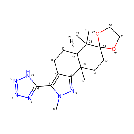 Cn1nc2c(c1-c1nnn[nH]1)CC[C@@H]1C2(C)CCC2(OCCO2)C1(C)C